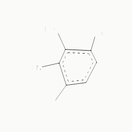 Cc1c(C(C)C)ccc(Br)c1N